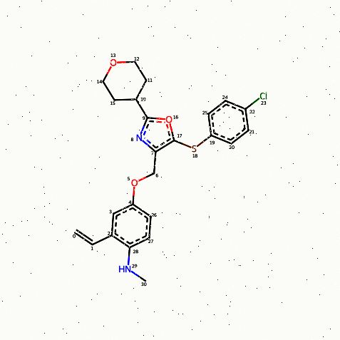 C=Cc1cc(OCc2nc(C3CCOCC3)oc2Sc2ccc(Cl)cc2)ccc1NC